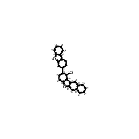 Clc1c(-c2ccc3c(c2)oc2ccccc23)ccc2oc3cc4ccccc4cc3c12